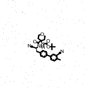 Cc1ccc(-c2ccc(C[C@@H](C#N)NC(=O)C3(NC(=O)OC(C)(C)C)CCOCC3)cc2)cc1C#N